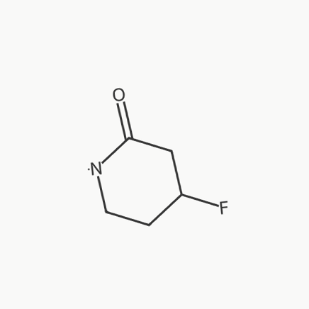 O=C1CC(F)CC[N]1